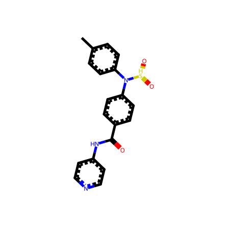 Cc1ccc(N(c2ccc(C(=O)Nc3ccncc3)cc2)[SH](=O)=O)cc1